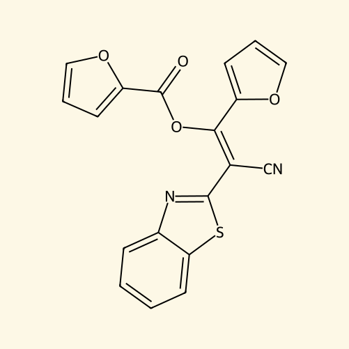 N#CC(=C(OC(=O)c1ccco1)c1ccco1)c1nc2ccccc2s1